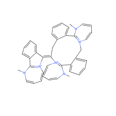 CN1C=CC=C[N+]2=C1c1ccccc1C/C(=C1\c3ccccc3C3=[N+]1C=CC=CN3C)[N+]1=C(c3ccccc3C2)N(C)C=CC=C1